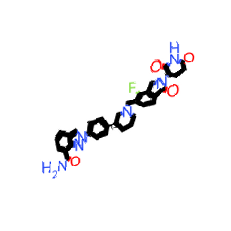 NC(=O)c1cccc2cn(-c3ccc([C@@H]4CCCN(Cc5ccc6c(c5F)CN(C5CCC(=O)NC5=O)C6=O)C4)cc3)nc12